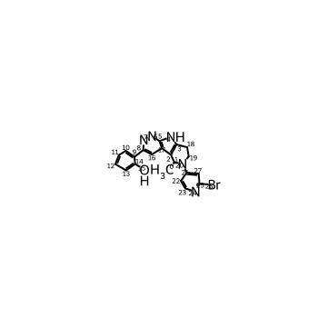 CC1c2c([nH]c3nnc(-c4ccccc4O)cc23)CCN1c1ccnc(Br)c1